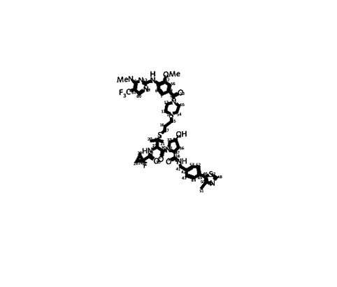 CNc1nc(Nc2ccc(C(=O)N3CCN(CCCSC(C)(C)C(NC(=O)C4(F)CC4)C(=O)N4C[C@H](O)C[C@H]4C(=O)NCc4ccc(-c5scnc5C)cc4)CC3)cc2OC)ncc1C(F)(F)F